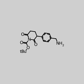 CC(C)(C)OC(=O)N1C(=O)CCC(c2ccc(CN)cc2)C1=O